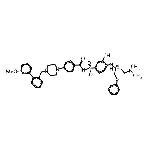 COc1cccc(-c2ccccc2CN2CCN(c3ccc(C(=O)NS(=O)(=O)c4ccc(N[C@H](CCN(C)C)CSc5ccccc5)c(C)c4)cc3)CC2)c1